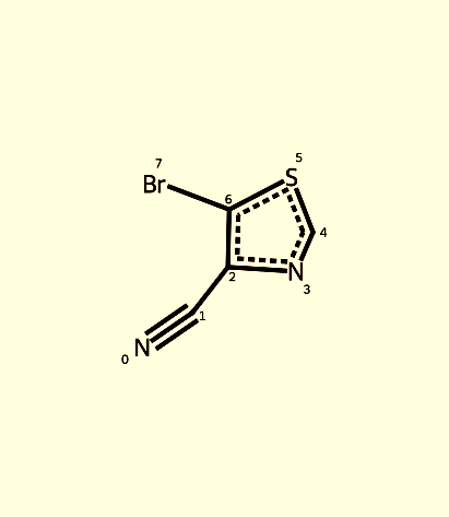 N#Cc1ncsc1Br